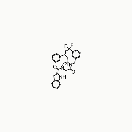 O=C([C@H]1Cc2ccccc2N1)N1CC(=O)N(Cc2cccc(C(F)(F)F)c2)[C@@H](CCc2ccccc2)C1